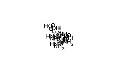 NNc1nnc(NN)c2ccccc12.NNc1nnc(NN)c2ccccc12.O.O=S(=O)(O)O.O=S(=O)(O)O